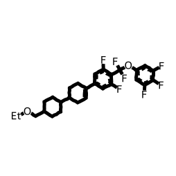 CCOCC1CCC(C2CC=C(c3cc(F)c(C(F)(F)Oc4cc(F)c(F)c(F)c4)c(F)c3)CC2)CC1